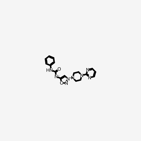 O=C([N-]c1c[n+](N2CCN(c3ncccn3)CC2)no1)Nc1ccccc1